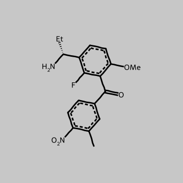 CC[C@@H](N)c1ccc(OC)c(C(=O)c2ccc([N+](=O)[O-])c(C)c2)c1F